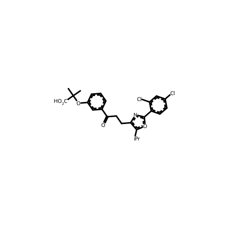 CC(C)c1oc(-c2ccc(Cl)cc2Cl)nc1CCC(=O)c1cccc(OC(C)(C)C(=O)O)c1